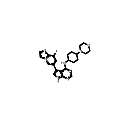 Fc1cc(-c2c[nH]c3ncnc(NC4CCC(N5CCOCC5)CC4)c23)cn2ccnc12